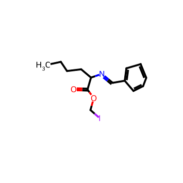 CCCCC(/N=C/c1ccccc1)C(=O)OCI